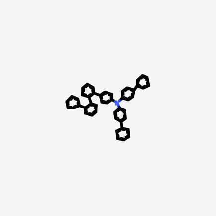 c1ccc(-c2ccc(N(c3ccc(-c4ccccc4)cc3)c3ccc(-c4ccccc4-c4ccccc4-c4ccccc4)cc3)cc2)cc1